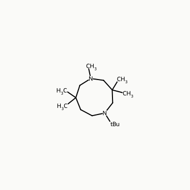 CN1CC(C)(C)CCN(C(C)(C)C)CC(C)(C)C1